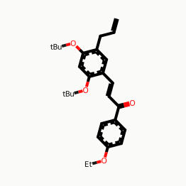 C=CCc1cc(C=CC(=O)c2ccc(OCC)cc2)c(OC(C)(C)C)cc1OC(C)(C)C